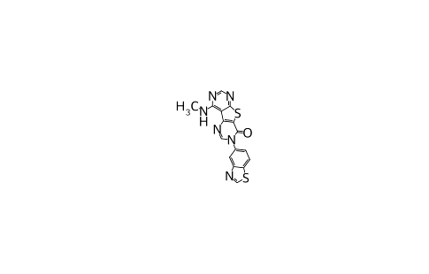 CNc1ncnc2sc3c(=O)n(-c4ccc5scnc5c4)cnc3c12